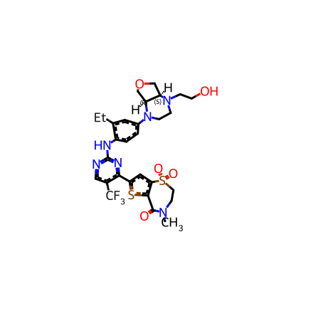 CCc1cc(N2CCN(CCO)[C@@H]3COC[C@@H]32)ccc1Nc1ncc(C(F)(F)F)c(-c2cc3c(s2)C(=O)N(C)CCS3(=O)=O)n1